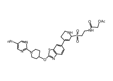 CCCc1cnc(N2CCC(Oc3nc4ccc(C5=CC(S(=O)(=O)CCNC(=O)COC(C)=O)NCC5)cc4s3)CC2)nc1